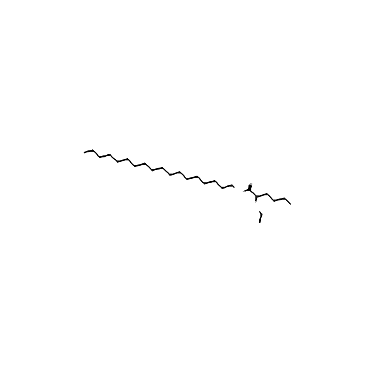 CCCCCCCCCCCCCCCCCCOC(=O)C(CCCC)OCC